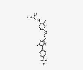 Cc1cc(OCCc2nc(-c3ccc(C(F)(F)F)cc3)c(C)s2)ccc1OCC(=O)O